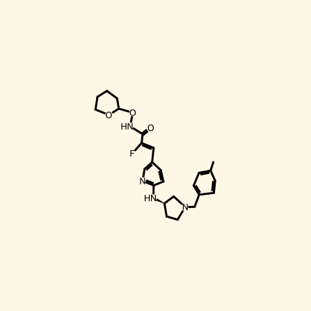 Cc1ccc(CN2CC[C@@H](Nc3ccc(/C=C(\F)C(=O)NOC4CCCCO4)cn3)C2)cc1